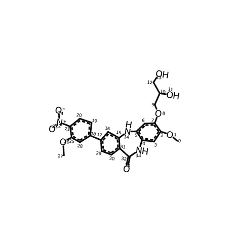 COc1cc2c(cc1OCC(O)CO)Nc1cc(-c3ccc([N+](=O)[O-])c(OC)c3)ccc1C(=O)N2